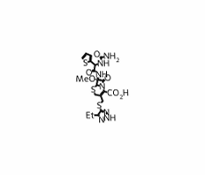 CCc1n[nH]nc1SCC1=C(C(=O)O)N2C(=O)[C@@](NC(=O)C(NC(N)=O)c3cccs3)(OC)C2SC1